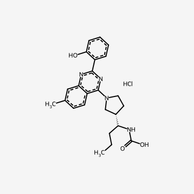 CCCC(NC(=O)O)[C@H]1CCN(c2nc(-c3ccccc3O)nc3cc(C)ccc23)C1.Cl